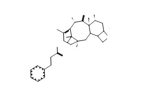 CC(=O)O[C@H]1C(=O)[C@@]2(C)[C@H](C[C@]3(O)C[C@H](OC(=O)CCc4ccccc4)C(C)=C1C3(C)C)[C@]1(OC(C)=O)CO[C@@H]1C[C@@H]2O